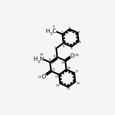 Cc1ccccc1CC1=C(N)C(=O)c2ccccc2C1=O